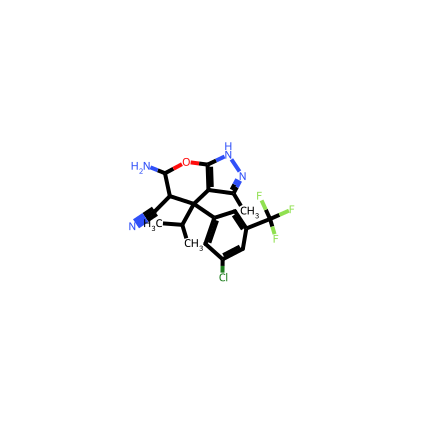 Cc1n[nH]c2c1C(c1cc(Cl)cc(C(F)(F)F)c1)(C(C)C)C(C#N)C(N)O2